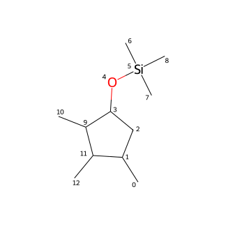 CC1CC(O[Si](C)(C)C)C(C)C1C